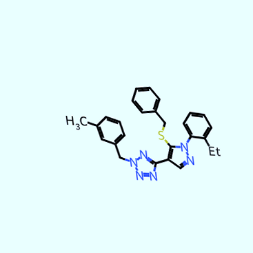 CCc1ccccc1-n1ncc(-c2nnn(Cc3cccc(C)c3)n2)c1SCc1ccccc1